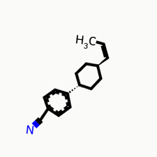 C/C=C\[C@H]1CC[C@H](c2ccc(C#N)cc2)CC1